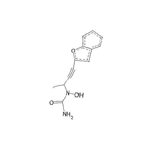 CC(C#Cc1cc2ccccc2o1)N(O)C(N)=O